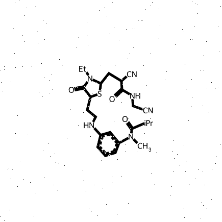 CCN1C(=O)C(CCNc2cccc(N(C)C(=O)C(C)C)c2)SC1CC(C#N)C(=O)NCC#N